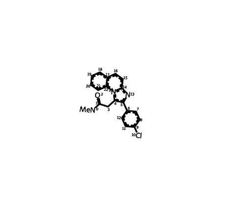 CNC(=O)Cc1c(-c2ccc(Cl)cc2)nc2ccc3ccccc3n12